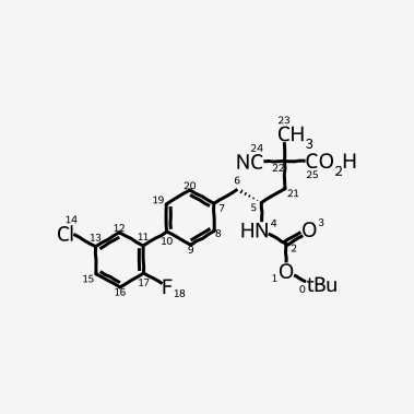 CC(C)(C)OC(=O)N[C@H](Cc1ccc(-c2cc(Cl)ccc2F)cc1)CC(C)(C#N)C(=O)O